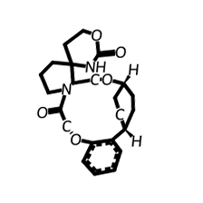 O=C1NC2(CCCN3C(=O)COc4ccccc4[C@H]4CC[C@H](CC4)OCC32)CCO1